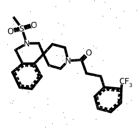 CS(=O)(=O)N1Cc2ccccc2C2(CCN(C(=O)CCc3ccccc3C(F)(F)F)CC2)C1